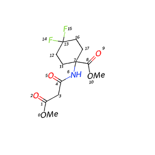 COC(=O)CC(=O)NC1(C(=O)OC)CCC(F)(F)CC1